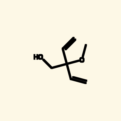 C=CC(C=C)(CO)OC